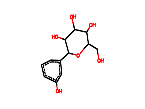 OCC1OC(c2cccc(O)c2)C(O)C(O)C1O